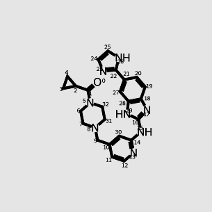 O=C(C1CC1)N1CCN(Cc2ccnc(Nc3nc4ccc(-c5ncc[nH]5)cc4[nH]3)c2)CC1